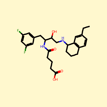 CCc1ccc2c(c1)C(NCC(O)C(Cc1cc(F)cc(F)c1)NC(=O)CCCC(=O)O)CCC2